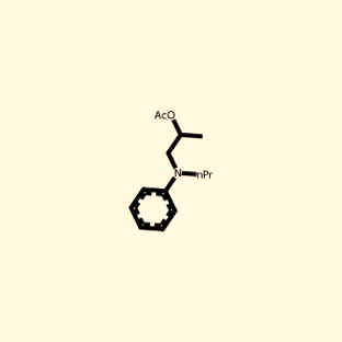 CCCN(CC(C)OC(C)=O)c1ccccc1